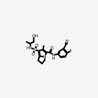 Cc1c(S(=O)(=O)NC(C)CO)c2n(c1C(=O)Nc1ccc(F)c(C#N)c1)CCC2